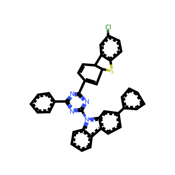 Clc1ccc2c(c1)C1C=CC(c3nc(-c4ccccc4)nc(-n4c5ccccc5c5ccc(-c6ccccc6)cc54)n3)=CC1S2